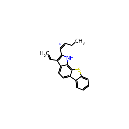 C=Cc1c(/C=C\CC)[nH]c2c1ccc1c3ccccc3sc12